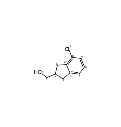 OCC1Cc2cccc(Cl)c2C1